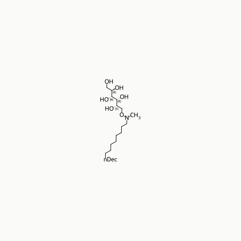 CCCCCCCCCCCCCCCCCCN(C)OC[C@H](O)[C@@H](O)[C@H](O)[C@H](O)CO